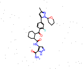 Cc1cc(-c2ccc(C(=O)C3CCCCC3C(=O)Nc3cn[nH]c3C(N)=O)c(F)c2)n(C2CCCCO2)n1